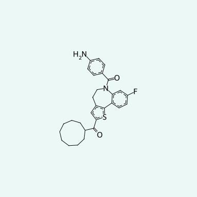 Nc1ccc(C(=O)N2CCc3cc(C(=O)C4CCCCCCCC4)sc3-c3ccc(F)cc32)cc1